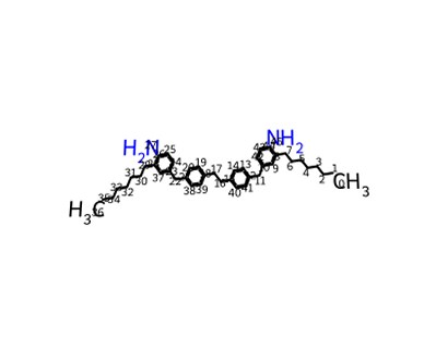 CCCCCCCCc1cc(Cc2ccc(CCc3ccc(Cc4ccc(N)c(CCCCCCCC)c4)cc3)cc2)ccc1N